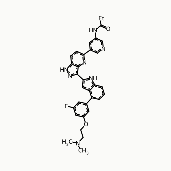 CCC(=O)Nc1cncc(-c2ccc3[nH]nc(-c4cc5c(-c6cc(F)cc(OCCN(C)C)c6)cccc5[nH]4)c3n2)c1